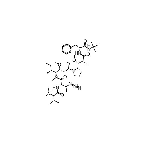 CC[C@H](C)[C@@H]([C@@H](CC(=O)N1CCC[C@H]1[C@H](OC)[C@@H](C)C(=O)N[C@@H](Cc1ccccc1)C(=O)NC(C)(C)C)OC)N(C)C(=O)[C@@H](NC(=O)[C@H](C(C)C)N(C)C)[C@H](C)N=[N+]=[N-]